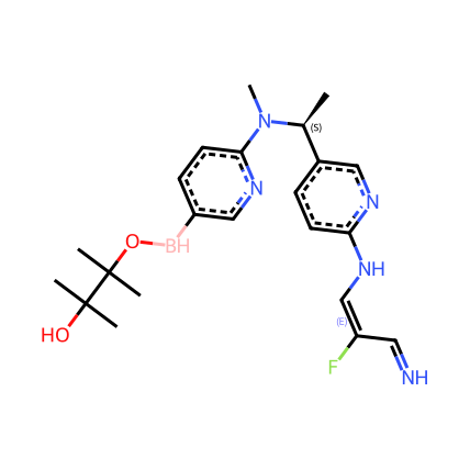 C[C@@H](c1ccc(N/C=C(/F)C=N)nc1)N(C)c1ccc(BOC(C)(C)C(C)(C)O)cn1